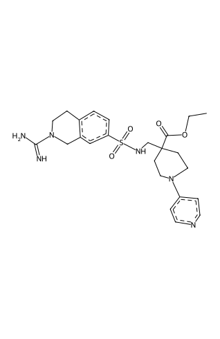 CCOC(=O)C1(CNS(=O)(=O)c2ccc3c(c2)CN(C(=N)N)CC3)CCN(c2ccncc2)CC1